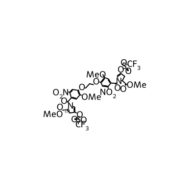 COC(=O)C1CC(OS(=O)(=O)C(F)(F)F)=CN1C(=O)c1cc(OC)c(OCCCOc2cc([N+](=O)[O-])c(C(=O)N3C=C(OS(=O)(=O)C(F)(F)F)C[C@H]3C(=O)OC)cc2OC)cc1[N+](=O)[O-]